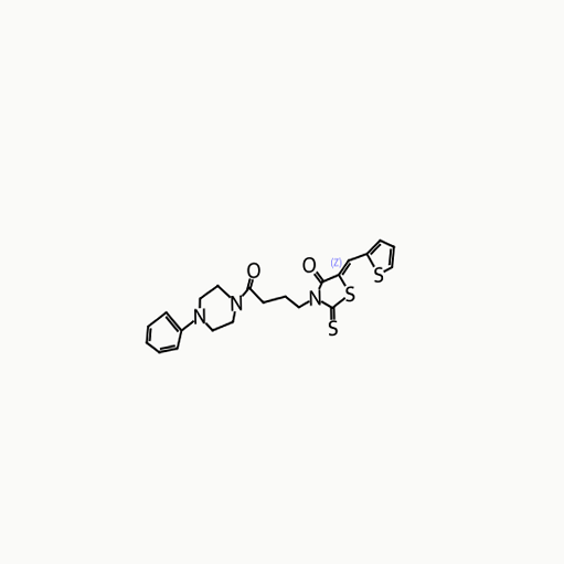 O=C(CCCN1C(=O)/C(=C/c2cccs2)SC1=S)N1CCN(c2ccccc2)CC1